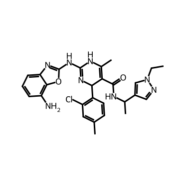 CCn1cc(C(C)NC(=O)C2=C(C)NC(Nc3nc4cccc(N)c4o3)=NC2c2ccc(C)cc2Cl)cn1